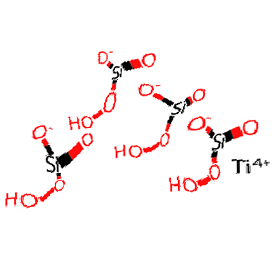 O=[Si]([O-])OO.O=[Si]([O-])OO.O=[Si]([O-])OO.O=[Si]([O-])OO.[Ti+4]